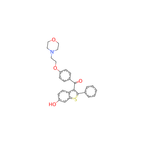 O=C(c1ccc(OCCN2CCOCC2)cc1)c1c(-c2ccccc2)sc2cc(O)ccc12